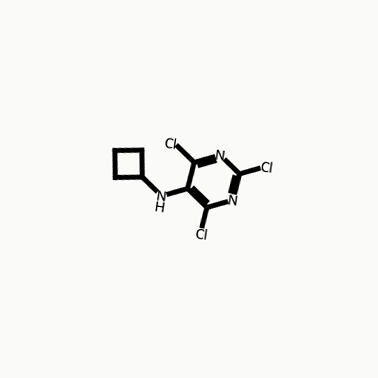 Clc1nc(Cl)c(NC2CCC2)c(Cl)n1